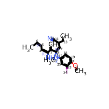 C=C(/C(N)=C\C=C/C)/C(=C\C(C#N)CC)N(C)c1ccc(OC)c(I)c1